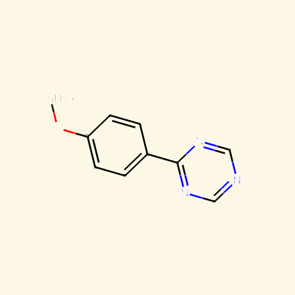 CCCCCCOc1ccc(-c2ncncn2)cc1